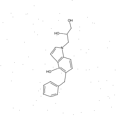 OCC(O)Cn1ccc2c(O)c(Cc3ccccc3)ccc21